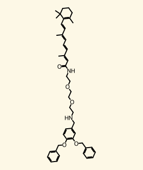 CC1=C(/C=C/C(C)=C/C=C/C(C)=C/C(=O)NCCOCCOCCNCc2ccc(OCc3ccccc3)c(OCc3ccccc3)c2)C(C)(C)CCC1